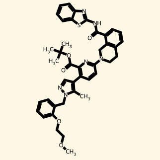 COCCOc1ccccc1Cn1ncc(-c2ccc(N3CCc4cccc(C(=O)Nc5nc6ccccc6s5)c4C3)nc2C(=O)OC(C)(C)C)c1C